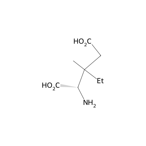 CCC(C)(CC(=O)O)[C@H](N)C(=O)O